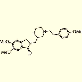 COc1ccc(CCN2CCCC(CN3Cc4cc(OC)c(OC)cc4C3=O)C2)cc1